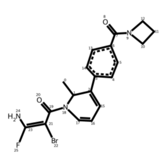 CC1C(c2ccc(C(=O)N3CCC3)cc2)=CC=CN1C(=O)/C(Br)=C(\N)F